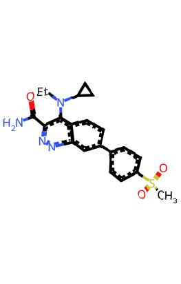 CCN(c1c(C(N)=O)nnc2cc(-c3ccc(S(C)(=O)=O)cc3)ccc12)C1CC1